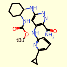 CC(C)(C)OC(=O)N[C@H]1CCCC[C@H]1Nc1cc(Nc2cccc(C3CC3)n2)c(C(N)=O)nn1